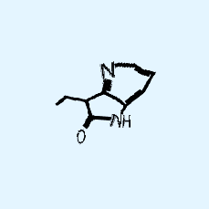 CCC1C(=O)Nc2cccnc21